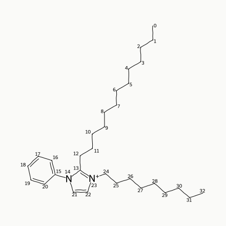 CCCCCCCCCCCCCc1n(-c2ccccc2)cc[n+]1CCCCCCCCC